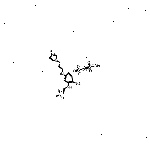 CC[N+](C)(CC)CCNc1cc(NCCCn2cc[n+](C)c2)ccc1[N+](=O)[O-].COS(=O)(=O)[O-].COS(=O)(=O)[O-]